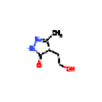 CC1=NNC(=O)C1CCO